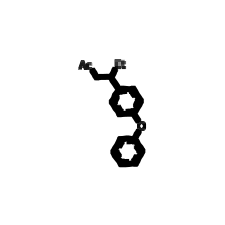 CCC(CC(C)=O)c1ccc(Oc2ccccc2)cc1